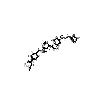 Cn1cc(-c2ccc(CNc3cc(-c4cnc5cc(OCCn6cccn6)ccn45)ncn3)cc2)cn1